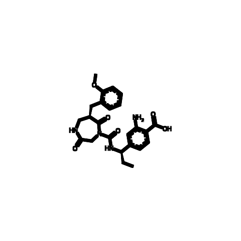 CC[C@@H](NC(=O)N1CC(=O)NC[C@@H](Cc2ccccc2OC)C1=O)c1ccc(C(=O)O)c(N)c1